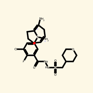 N/C1=C(/N(N)c2cc(Cl)c(F)c(C(=O)NNS(=O)(=O)CC3CCOCC3)c2)CCC/C=C\C1